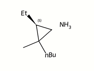 CCCCC1(C)C[C@@H]1CC.N